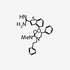 CNC(=O)N(CCc1ccccc1)CC(Oc1cccc2sc(C(=N)N)cc12)c1ccccc1